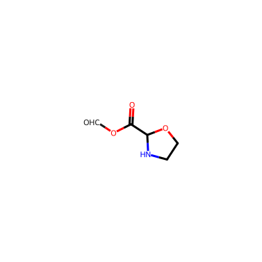 O=COC(=O)C1NCCO1